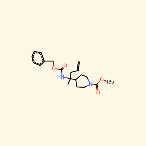 C=CCC(C)(NC(=O)OCc1ccccc1)C1CCN(C(=O)OC(C)(C)C)CC1